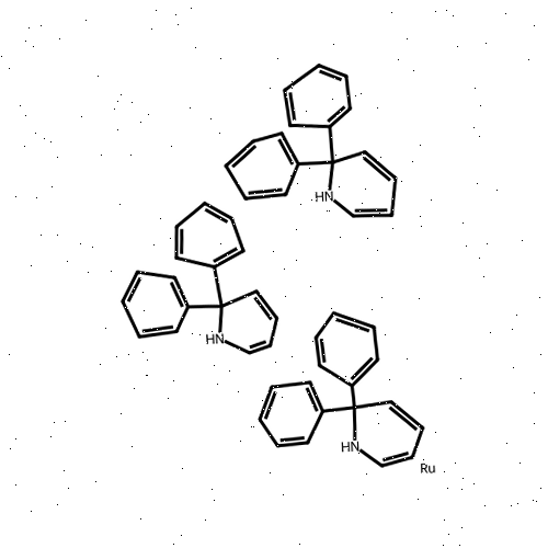 C1=CNC(c2ccccc2)(c2ccccc2)C=C1.C1=CNC(c2ccccc2)(c2ccccc2)C=C1.C1=CNC(c2ccccc2)(c2ccccc2)C=C1.[Ru]